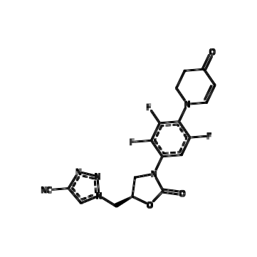 N#Cc1cn(C[C@H]2CN(c3cc(F)c(N4C=CC(=O)CC4)c(F)c3F)C(=O)O2)nn1